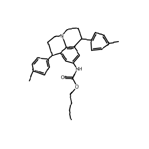 CCCCOC(=O)Nc1cc2c3c(c1)C(c1ccc(C)cc1)CCN3CCC2c1ccc(C)cc1